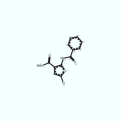 COC(=O)c1cc(Cl)sc1NC(=O)c1ccccc1